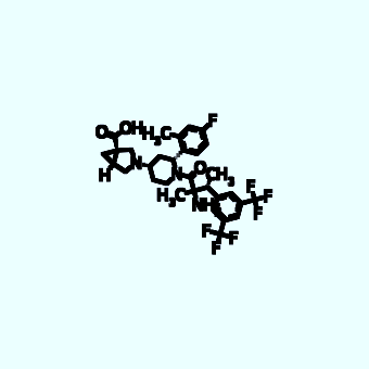 Cc1cc(F)ccc1[C@H]1C[C@@H](N2C[C@@H]3C[C@]3(C(=O)O)C2)CCN1C(=O)C(C)(N)[C@H](C)c1cc(C(F)(F)F)cc(C(F)(F)F)c1